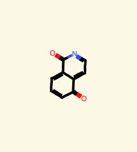 O=C1C=CC=C2C(=O)N=CC=C12